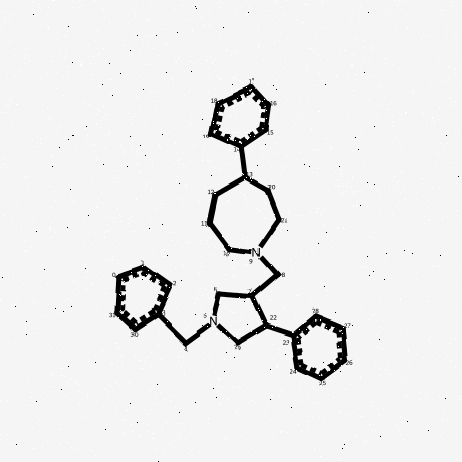 c1ccc(CN2CC(CN3CCCC(c4ccccc4)CC3)C(c3ccccc3)C2)cc1